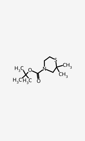 CC(C)(C)OC(=O)N1CCSC(C)(C)C1